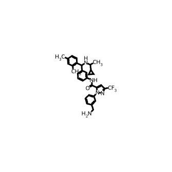 Cc1ccc(C(NC(C)C2CC2)c2cccc(NC(=O)c3cc(C(F)(F)F)nn3-c3cccc(CN)c3)c2)c(C)c1